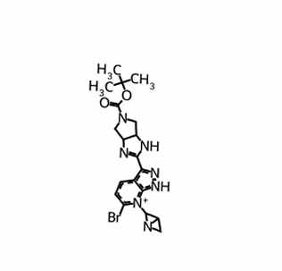 CC(C)(C)OC(=O)N1CC2N=C(c3n[nH]c4c3ccc(Br)[n+]4C3C4CN43)NC2C1